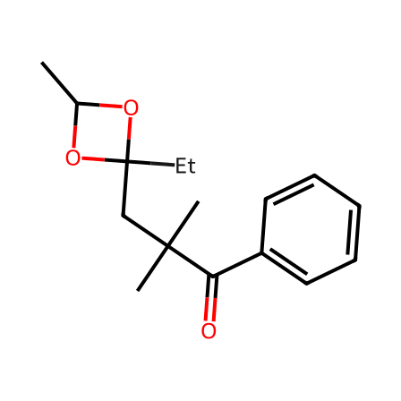 CCC1(CC(C)(C)C(=O)c2ccccc2)OC(C)O1